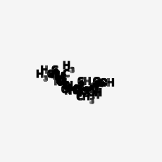 CCc1cc(-c2nc(-c3cc(C)c(OC[C@@H](O)CNC(=O)CO)c(CC)c3)no2)cnc1N(CC)CC